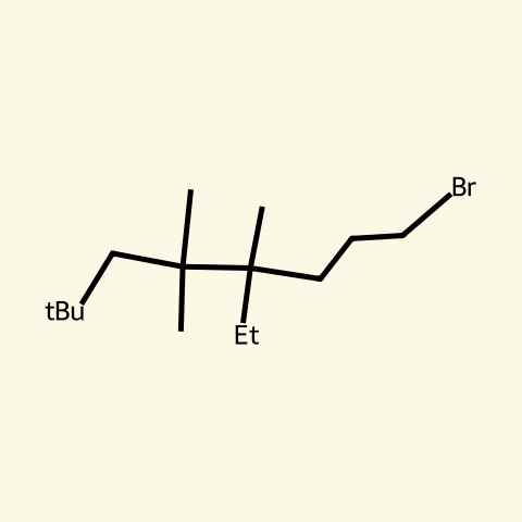 CCC(C)(CCCBr)C(C)(C)CC(C)(C)C